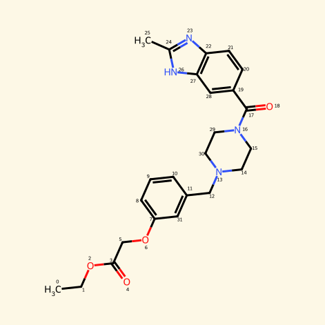 CCOC(=O)COc1cccc(CN2CCN(C(=O)c3ccc4nc(C)[nH]c4c3)CC2)c1